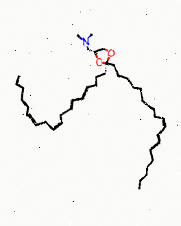 CCCCC/C=C\C/C=C\CCCCCCCC[C@@]1(CCCCCCCC/C=C\CCCCCCCC)OC[C@@H](CN(C)C)O1